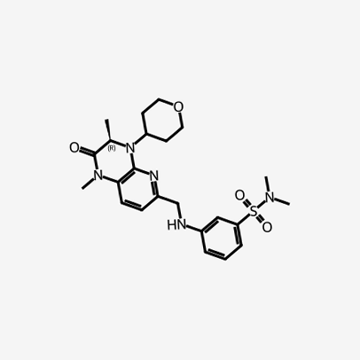 C[C@@H]1C(=O)N(C)c2ccc(CNc3cccc(S(=O)(=O)N(C)C)c3)nc2N1C1CCOCC1